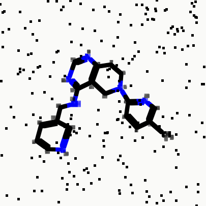 Cc1ccc(N2CCc3ncnc(NCc4cccnc4)c3C2)nc1